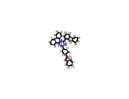 c1ccc(-c2ccccc2-c2nc(-c3ccc(-c4cc5ccccc5o4)cc3)nc(-c3cccc4c3sc3ccccc34)n2)cc1